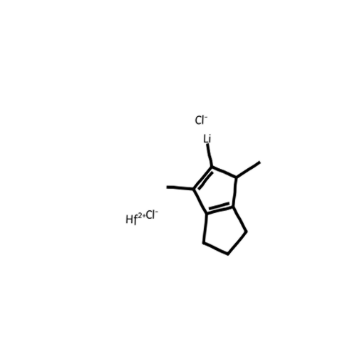 [Cl-].[Cl-].[Hf+2].[Li][C]1=C(C)C2=C(CCC2)C1C